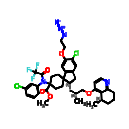 COC(=O)C1(N(C(=O)C(F)(F)F)c2cccc(Cl)c2)CCC2(CC1)c1cc(OCCN=[N+]=[N-])c(Cl)cc1C[C@@H]2C[C@@H](C)COc1ccnc2c1[C@H](C)CCC2